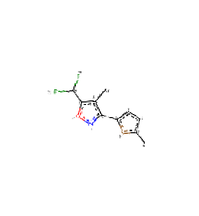 Cc1ccc(-c2noc(C(F)F)c2C)s1